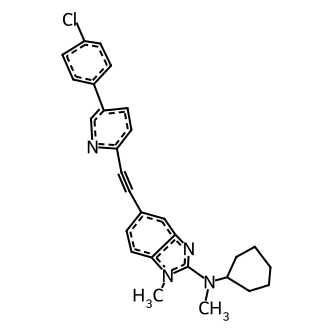 CN(c1nc2cc(C#Cc3ccc(-c4ccc(Cl)cc4)cn3)ccc2n1C)C1CCCCC1